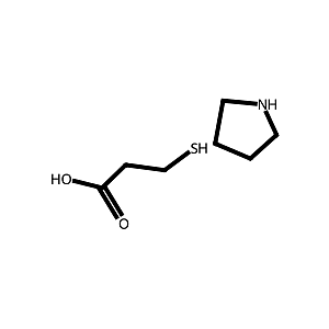 C1CCNC1.O=C(O)CCS